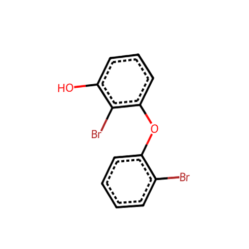 Oc1cccc(Oc2ccccc2Br)c1Br